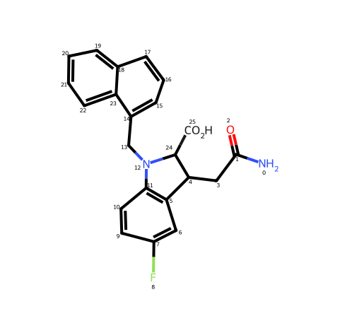 NC(=O)CC1c2cc(F)ccc2N(Cc2cccc3ccccc23)C1C(=O)O